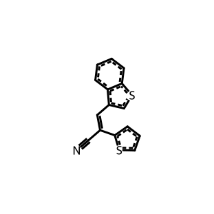 N#CC(=Cc1csc2ccccc12)c1cccs1